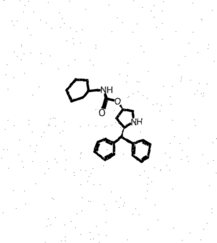 O=C(NC1CCCCC1)O[C@H]1CN[C@@H](C(c2ccccc2)c2ccccc2)C1